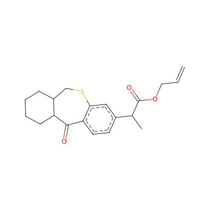 C=CCOC(=O)C(C)c1ccc2c(c1)SCC1CCCCC1C2=O